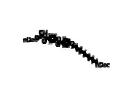 CCCCCCCCCCCCCCCCCCCCCCOc1ccc(C(=O)Oc2ccc(C(=O)O[C@@H](C)COCCCCCCCCCC)cc2)cc1